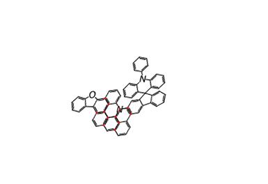 c1ccc(N2c3ccccc3C3(c4ccccc4-c4ccc(N(c5ccccc5-c5ccc6oc7ccccc7c6c5)c5ccccc5-c5ccccc5-c5cccc6ccccc56)cc43)c3ccccc32)cc1